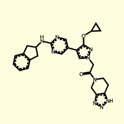 O=C(Cn1cc(-c2cnc(NC3Cc4ccccc4C3)nc2)c(OC2CC2)n1)N1CCc2[nH]nnc2C1